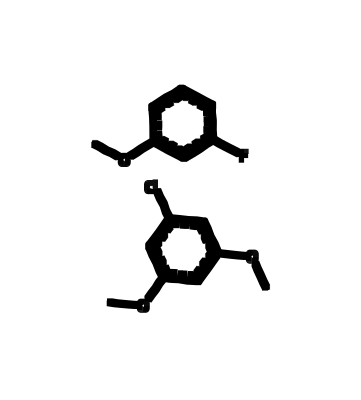 COc1cc(Cl)cc(OC)c1.COc1cccc(F)c1